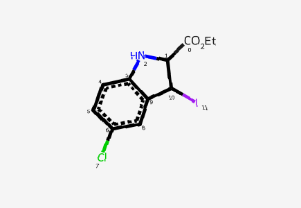 CCOC(=O)C1Nc2ccc(Cl)cc2C1I